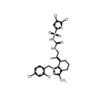 Cc1nn(Cc2ccc(Cl)cc2Cl)c2c1CCCC2=C(F)CNC(=O)NS(=O)(=O)c1cc(Cl)c(Cl)s1